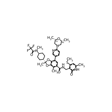 CSc1cc(C)[nH]c(=O)c1CNC(=O)c1cc(-c2ccc(N3C[C@@H](C)O[C@@H](C)C3)nc2)c2c(c1C)OC(C)([C@H]1CC[C@H](N(C)C(=O)C(F)(F)F)CC1)O2